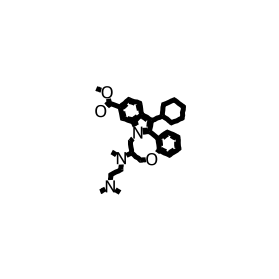 COC(=O)c1ccc2c(C3CCCCC3)c3n(c2c1)CC(N(C)CCN(C)C)COc1ccccc1-3